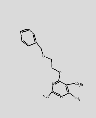 CCOC(=O)c1c(N)nc(SC)nc1OCCOCc1ccccc1